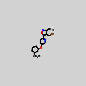 Cc1noc(-c2ccc(O[C@H]3CCC[C@H](C(=O)O)C3)cn2)c1CBr